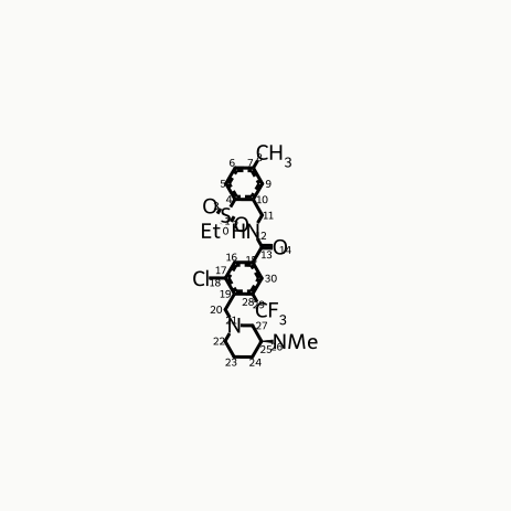 CCS(=O)(=O)c1ccc(C)cc1CNC(=O)c1cc(Cl)c(CN2CCC[C@H](NC)C2)c(C(F)(F)F)c1